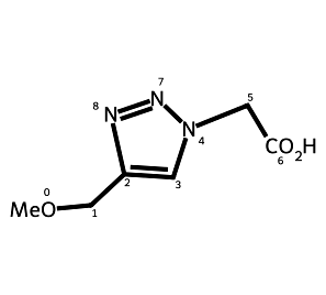 COCc1cn(CC(=O)O)nn1